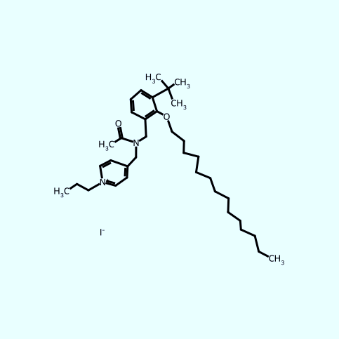 CCCCCCCCCCCCCCOc1c(CN(Cc2cc[n+](CCC)cc2)C(C)=O)cccc1C(C)(C)C.[I-]